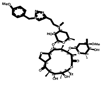 CC[C@H]1OC(=O)[C@H](C)[C@@H](O[C@H]2C[C@@](C)(OC)[C@@H](O)[C@H](C)O2)[C@H](C)[C@@H](O[C@@H]2O[C@H](C)C[C@H](N(C)CCc3cn(Cc4ccc(OC)cc4)nn3)[C@H]2O)[C@@]2(C)C[C@@H](CO2)C(=O)[C@H](C)[C@@H](O)[C@]1(C)O